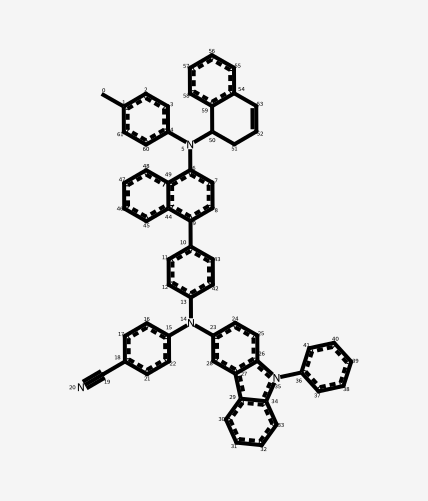 Cc1ccc(N(c2ccc(-c3ccc(N(c4ccc(C#N)cc4)c4ccc5c(c4)c4ccccc4n5-c4ccccc4)cc3)c3ccccc23)C2CC=Cc3ccccc32)cc1